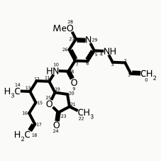 C=CCCNc1cc(C(=O)NC(CC(C)CCC=C)C2CC(C)C(=O)O2)cc(OC)n1